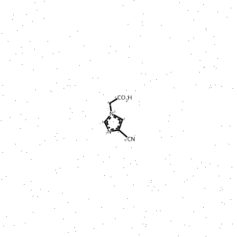 N#Cc1cn(CC(=O)O)cn1